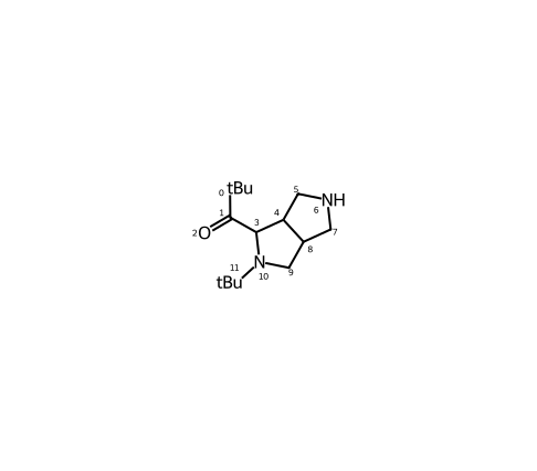 CC(C)(C)C(=O)C1C2CNCC2CN1C(C)(C)C